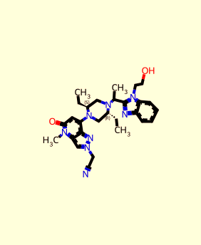 CC[C@H]1CN(C(C)c2nc3ccccc3n2CCO)[C@H](CC)CN1c1cc(=O)n(C)c2cn(CC#N)nc12